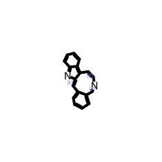 C1=C\C2=c3ccccc3=N/C2=C/c2ccccc2\C=N/1